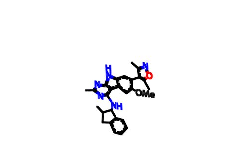 COc1cc2c(cc1-c1c(C)noc1C)[nH]c1nc(C)nc(NC3c4ccccc4CC3C)c12